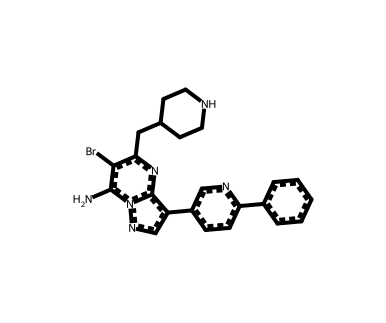 Nc1c(Br)c(CC2CCNCC2)nc2c(-c3ccc(-c4ccccc4)nc3)cnn12